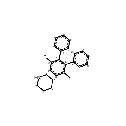 C1CCNCC1.Cc1ccc(O)c(-c2ccccc2)c1-c1ccccc1